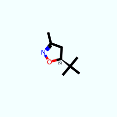 CC1=NO[C@H](C(C)(C)C)C1